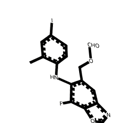 Cc1cc(I)ccc1Nc1c(COC=O)cc2ncoc2c1F